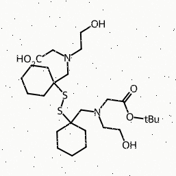 CC(C)(C)OC(=O)CN(CCO)CC1(SSC2(CN(CCO)CC(=O)O)CCCCC2)CCCCC1